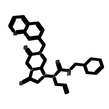 C=CCN(C(=O)NCC1CC=CCC1)N1CC(=O)N2CC(=O)N(Cc3ccc4cccnc4c3)CC21